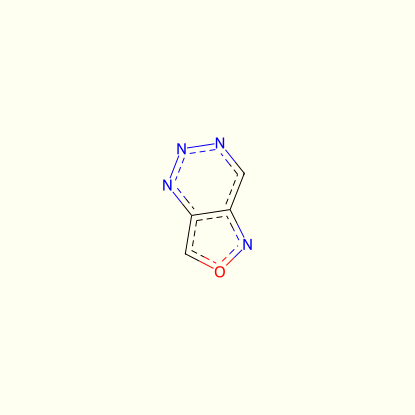 c1onc2cnnnc12